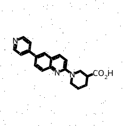 O=C(O)C1CCCN(c2ccc3cc(-c4ccncc4)ccc3n2)C1